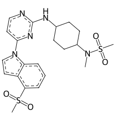 CN(C1CCC(Nc2nccc(-n3ccc4c(S(C)(=O)=O)cccc43)n2)CC1)S(C)(=O)=O